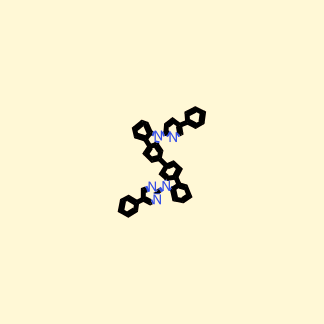 c1ccc(-c2ccc(-n3c4ccccc4c4ccc(-c5ccc6c7ccccc7n(-c7ncc(-c8ccccc8)cn7)c6c5)cc43)nc2)cc1